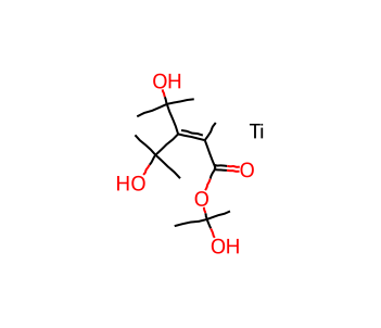 CC(C(=O)OC(C)(C)O)=C(C(C)(C)O)C(C)(C)O.[Ti]